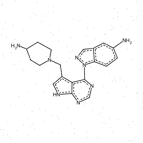 Nc1ccc2c(cnn2-c2ncnc3[nH]cc(CN4CCC(N)CC4)c23)c1